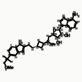 COCC(C)(C)c1ccc2[nH]c(CC[C@H]3C[C@H](N(C[C@H]4O[C@@H](n5cnc6c(N)ncnc65)[C@H](O)[C@@H]4O)C(C)C)C3)nc2c1